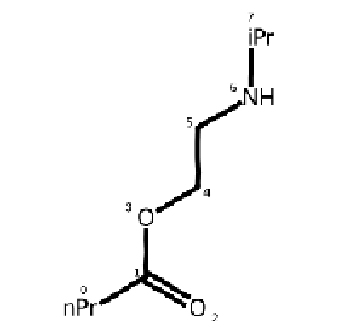 CCCC(=O)OCCNC(C)C